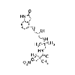 CC(C)(CNC(=O)C(C)(C)CO[N+](=O)[O-])NCC(O)COc1cccc2c1CC(=O)N2